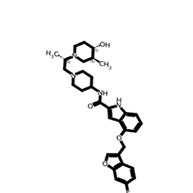 C[C@H]1CN([C@@H](C)CN2CCC(NC(=O)c3cc4c(OCc5coc6cc(F)ccc56)cccc4[nH]3)CC2)CC[C@@H]1O